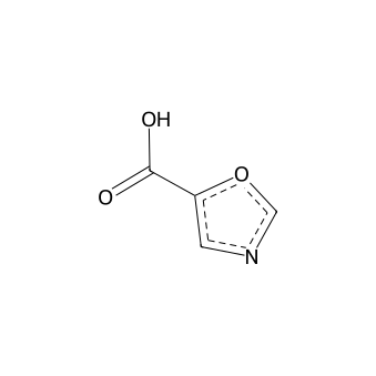 O=C(O)c1cnco1